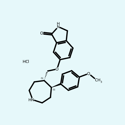 COc1ccc([C@H]2CCNCC[C@@H]2COc2ccc3c(c2)C(=O)NC3)cc1.Cl